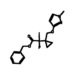 Cn1ccc(OCC2(C(F)(I)C(=O)OCc3ccccc3)CC2)n1